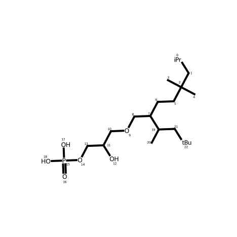 CC(C)CC(C)(C)CCC(COCC(O)COP(=O)(O)O)C(C)CC(C)(C)C